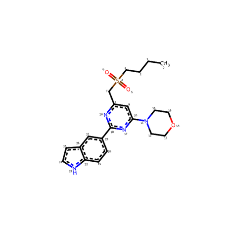 CCCCS(=O)(=O)Cc1cc(N2CCOCC2)nc(-c2ccc3[nH]ccc3c2)n1